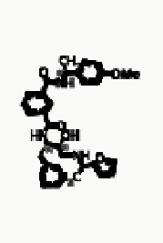 COc1ccc([C@@H](C)NC(=O)c2cccc(C(=O)N[C@@H](Cc3ccccc3)[C@H](O)CNC(C)c3ccco3)c2)cc1